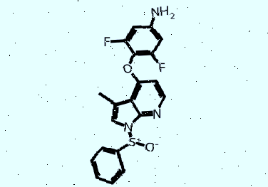 Cc1cn([S+]([O-])c2ccccc2)c2nccc(Oc3c(F)cc(N)cc3F)c12